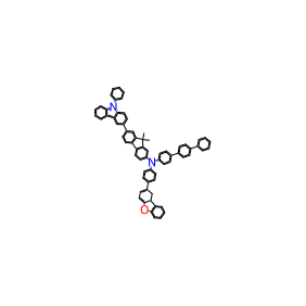 CC1(C)c2cc(-c3ccc4c(c3)c3ccccc3n4-c3ccccc3)ccc2-c2ccc(N(c3ccc(C4=CC=C5Oc6ccccc6C5C4)cc3)c3ccc(-c4ccc(-c5ccccc5)cc4)cc3)cc21